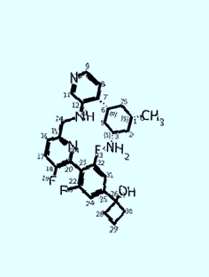 C[C@@H]1C[C@H](N)C[C@H](c2ccncc2NCc2ccc(F)c(-c3c(F)cc(C4(O)CCC4)cc3F)n2)C1